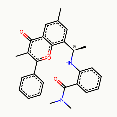 Cc1cc([C@@H](C)Nc2ccccc2C(=O)N(C)C)c2oc(-c3ccccc3)c(C)c(=O)c2c1